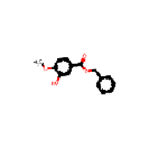 COc1ccc(C(=O)OCc2ccccc2)cc1O